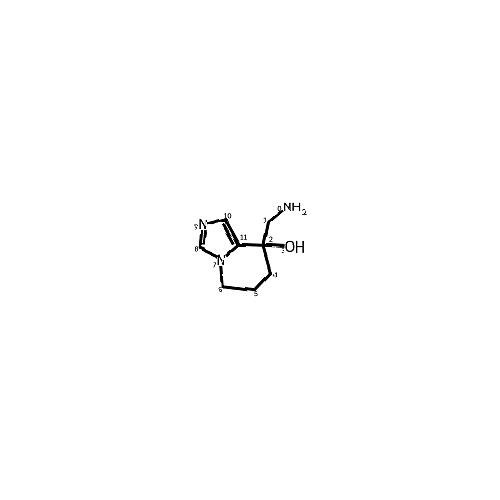 NCC1(O)CCCn2cncc21